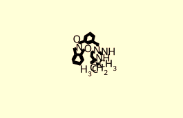 C=C[C@@]1(C(C)C)CC(=O)N(Cc2cccc(C(=O)N3Cc4ccccc4C3)c2)C(=N)N1